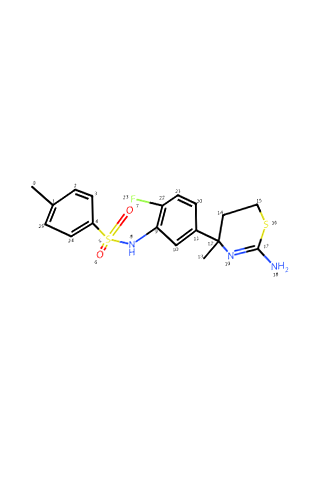 Cc1ccc(S(=O)(=O)Nc2cc(C3(C)CCSC(N)=N3)ccc2F)cc1